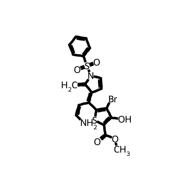 C=c1/c(=C(\C=C/N)c2sc(C(=O)OC)c(O)c2Br)ccn1S(=O)(=O)c1ccccc1